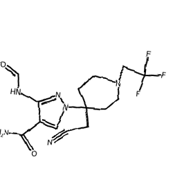 N#CCC1(n2cc(C(N)=O)c(NC=O)n2)CCN(CC(F)(F)F)CC1